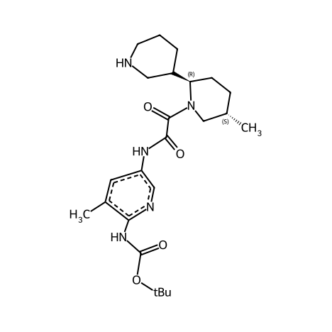 Cc1cc(NC(=O)C(=O)N2C[C@@H](C)CC[C@@H]2C2CCCNC2)cnc1NC(=O)OC(C)(C)C